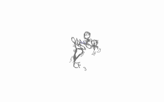 CON(Cc1ccc(C(F)(F)F)cc1)C(=O)/C=C1\OC(C)(C)OC1=O